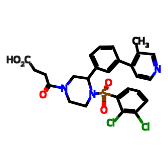 Cc1cnccc1-c1cccc(C2CN(C(=O)CCC(=O)O)CCN2S(=O)(=O)c2cccc(Cl)c2Cl)c1